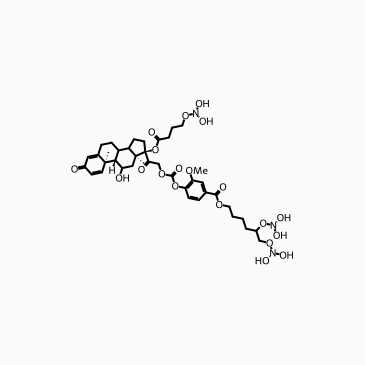 COc1cc(C(=O)OCCCCC(CON(O)O)ON(O)O)ccc1OC(=O)OCC(=O)[C@@]1(OC(=O)CCCON(O)O)CCC2C3CCC4=CC(=O)C=C[C@]4(C)[C@H]3C(O)C[C@@]21C